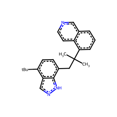 CC(C)(C)c1ccc(CC(C)(C)c2cccc3cnccc23)c2[nH]ncc12